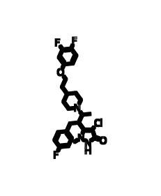 CC(C(Cc1ccc(F)cc1)c1c(Cl)c(=O)[nH]n1C)N1CCC(CCOc2ccc(F)c(F)c2)CC1